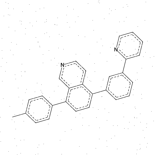 Cc1ccc(-c2ccc(-c3cccc(-c4ccccn4)c3)c3ccncc23)cc1